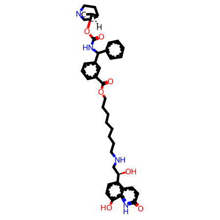 O=C(NC(c1ccccc1)c1cccc(C(=O)OCCCCCCCCNC[C@@H](O)c2ccc(O)c3[nH]c(=O)ccc23)c1)O[C@H]1CN2CCC1CC2